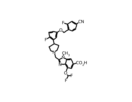 Cn1c(CN2CCC(c3cc(OCc4ccc(C#N)cc4F)ccc3F)CC2)nc2c(OC(F)F)cc(C(=O)O)cc21